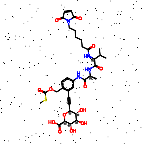 CSC(=O)OCc1ccc(NC(=O)[C@H](C)NC(=O)[C@@H](NC(=O)CCCCCN2C(=O)C=CC2=O)C(C)C)cc1C#C[C@@H]1O[C@H](C(=O)O)[C@@H](O)[C@H](O)[C@H]1O